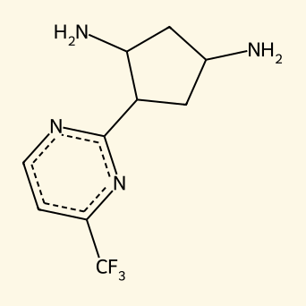 NC1CC(N)C(c2nccc(C(F)(F)F)n2)C1